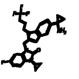 NC1(c2ccc3c(c2)cc(Cn2c(=O)n(C4CC4)c4ccc(F)cc42)n3CCCC(F)(F)F)CC1